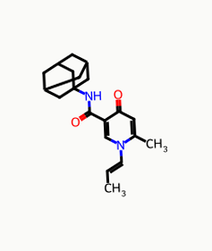 CC=Cn1cc(C(=O)NC23CC4CC(CC(C4)C2)C3)c(=O)cc1C